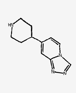 c1cn2cnnc2cc1C1CCNCC1